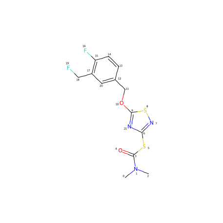 CN(C)C(=O)Sc1nsc(OCc2ccc(F)c(CF)c2)n1